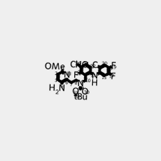 COc1ccc(N)c(CCN(Cc2c(Nc3cc(F)c(F)cc3C(=O)O)ccc(Cl)c2F)C(=O)OC(C)(C)C)n1